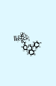 CC(C)(C)[Si](C)(C)OCC1CCC(=O)N1N=C(c1ccccc1)c1ccccc1